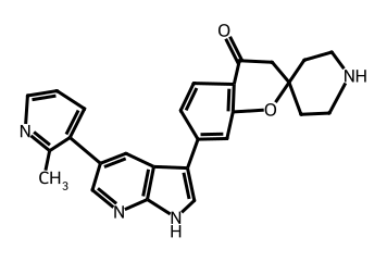 Cc1ncccc1-c1cnc2[nH]cc(-c3ccc4c(c3)OC3(CCNCC3)CC4=O)c2c1